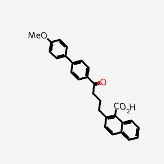 COc1ccc(-c2ccc(C(=O)CCCc3ccc4ccccc4c3C(=O)O)cc2)cc1